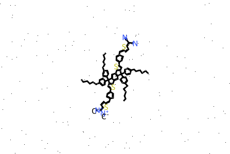 [C-]#[N+]C([N+]#[C-])=c1cc/c(=C\c2ccc(-c3cc4c(s3)-c3cc5c(cc3C4(c3ccc(CCCCCC)cc3)c3ccc(CCCCCC)cc3)-c3sc(-c4ccc(/C=c6\ccc(=C(C#N)C#N)s6)cc4)cc3C5(c3ccc(CCCCCC)cc3)c3ccc(CCCCCC)cc3)cc2)s1